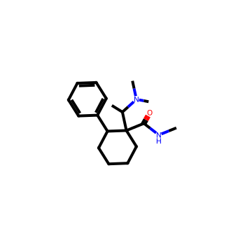 CNC(=O)C1(C(C)N(C)C)CCCCC1c1ccccc1